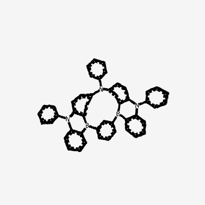 c1ccc(N2c3ccc4c(c3)B(c3cccc(c3)B3c5ccccc5N(c5ccccc5)c5ccc2cc53)c2ccccc2N4c2ccccc2)cc1